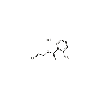 C=CCOC(=O)c1ccccc1N.Cl